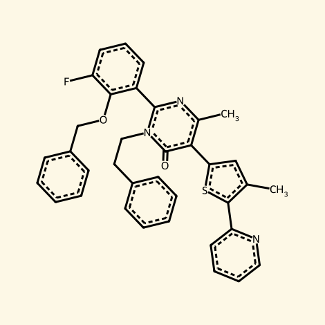 Cc1cc(-c2c(C)nc(-c3cccc(F)c3OCc3ccccc3)n(CCc3ccccc3)c2=O)sc1-c1ccccn1